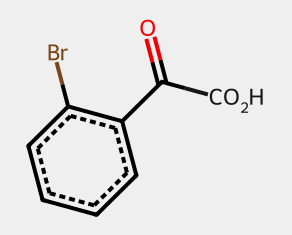 O=C(O)C(=O)c1ccccc1Br